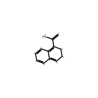 C=C(S)C1=c2ccccc2=CCC1